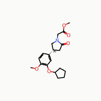 COC(=O)CN1C[C@@H](c2ccc(OC)c(OC3CCCC3)c2)CC1=O